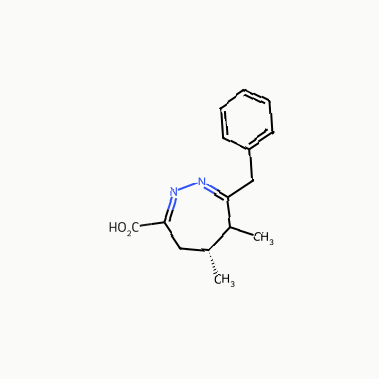 CC1C(Cc2ccccc2)=NN=C(C(=O)O)C[C@H]1C